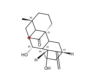 C=C1[C@H]2CC[C@]3(C(C2)[C@@]24CCC[C@@](C)(COC2=O)C4C[C@H]3O)[C@H]1O